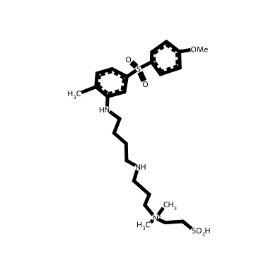 COc1ccc(S(=O)(=O)c2ccc(C)c(NCCCCNCCC[N+](C)(C)CCS(=O)(=O)O)c2)cc1